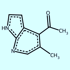 CC(=O)c1c(C)cnc2[nH]ccc12